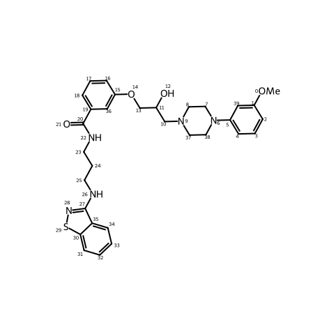 COc1cccc(N2CCN(CC(O)COc3cccc(C(=O)NCCCNc4nsc5ccccc45)c3)CC2)c1